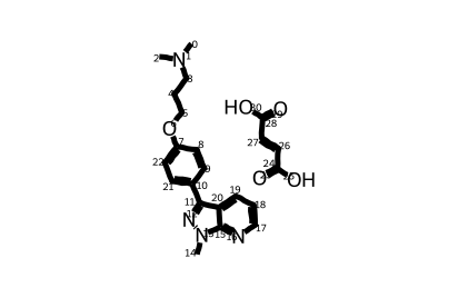 CN(C)CCCOc1ccc(-c2nn(C)c3ncccc23)cc1.O=C(O)C=CC(=O)O